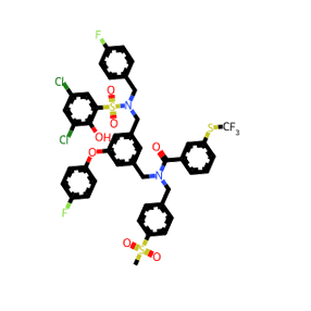 CS(=O)(=O)c1ccc(CN(Cc2cc(CN(Cc3ccc(F)cc3)S(=O)(=O)c3cc(Cl)cc(Cl)c3O)cc(Oc3ccc(F)cc3)c2)C(=O)c2cccc(SC(F)(F)F)c2)cc1